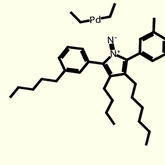 CCCCCCC1=C(c2cccc(C)c2)[N+](=[N-])C(c2cccc(CCCCC)c2)=C1CCCC.C[CH2][Pd][CH2]C